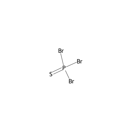 S=P(Br)(Br)Br